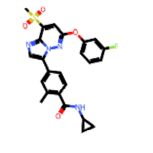 Cc1cc(-c2cnc3c(S(C)(=O)=O)cc(Oc4cccc(F)c4)nn23)ccc1C(=O)NC1CC1